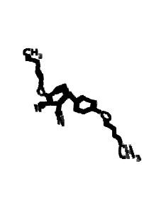 CCCCCOc1ccc(C2CCC(OCCCCC)CC2)c(C#N)c1C#N